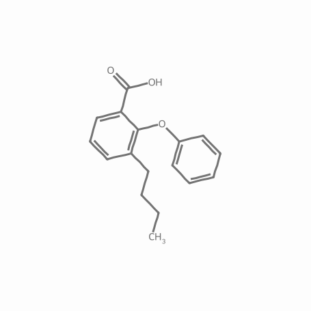 CCCCc1cccc(C(=O)O)c1Oc1ccccc1